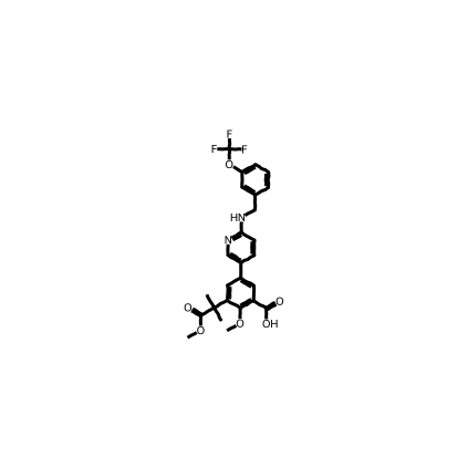 COC(=O)C(C)(C)c1cc(-c2ccc(NCc3cccc(OC(F)(F)F)c3)nc2)cc(C(=O)O)c1OC